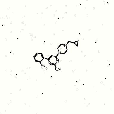 N#Cc1nc(-c2ccccc2C(F)(F)F)cc(N2CCN(CC3CC3)CC2)n1